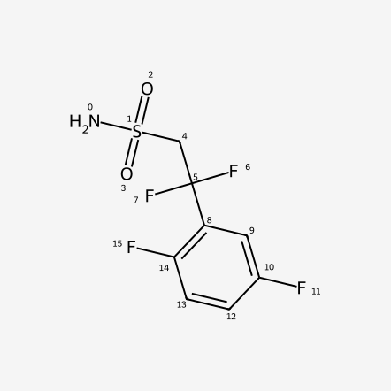 NS(=O)(=O)CC(F)(F)c1cc(F)ccc1F